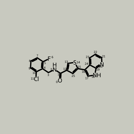 O=C(NCc1c(F)cccc1Cl)c1csc(-c2c[nH]c3ncccc23)c1